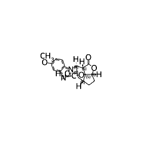 COc1ccc2c(c1)nc1n2[C@@H]2[C@@H](C)C[C@H]3CC[C@H]4OC(=O)[C@@H]2[C@@]34OC1